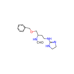 O=CNC(CCNC1=NCCN1)COCc1ccccc1